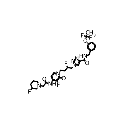 CC(F)(F)Oc1cccc(CNC(=O)c2cn(CC(F)CCn3ccc(NC(=O)CN4CCCC(F)C4)c(F)c3=O)nn2)c1